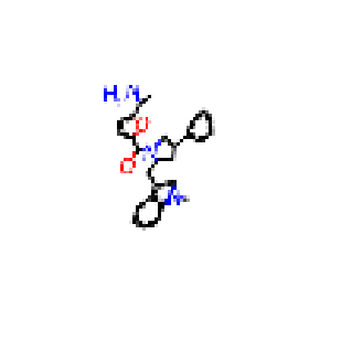 CC(N)c1ccc(C(=O)N2CC(c3ccccc3)CC2Cc2cn(C)c3ccccc23)o1